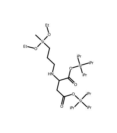 CCO[Si](C)(CCCNC(CC(=O)O[Si](C(C)C)(C(C)C)C(C)C)C(=O)O[Si](C(C)C)(C(C)C)C(C)C)OCC